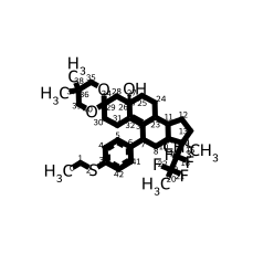 CCSc1ccc(C2CC3(C)C(CC[C@@]3(C)C(F)(F)C(C)(F)F)C3CC[C@@]4(O)CC5(CCC4=C23)OCC(C)(C)CO5)cc1